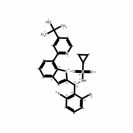 CC(C)(O)c1ccnc(-c2cccc3cc([C@H](NS(=O)(=O)C4CC4)c4c(F)cccc4Br)sc23)c1